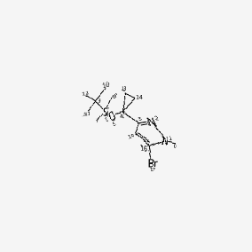 Cn1nc(C2(O[Si](C)(C)C(C)(C)C)CC2)cc1Br